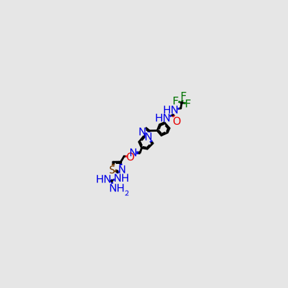 N=C(N)Nc1nc(CON=Cc2ccn3c(-c4cccc(NC(=O)NCC(F)(F)F)c4)cnc3c2)cs1